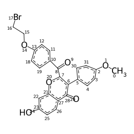 COc1ccc(-c2c(C(=O)c3ccc(OCCBr)cc3)oc3cc(O)ccc3c2=O)cc1